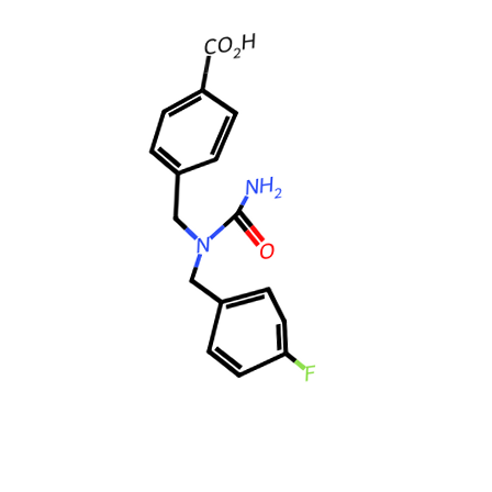 NC(=O)N(Cc1ccc(F)cc1)Cc1ccc(C(=O)O)cc1